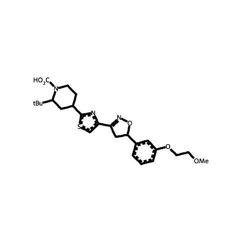 COCCOc1cccc(C2CC(c3csc(C4CCN(C(=O)O)C(C(C)(C)C)C4)n3)=NO2)c1